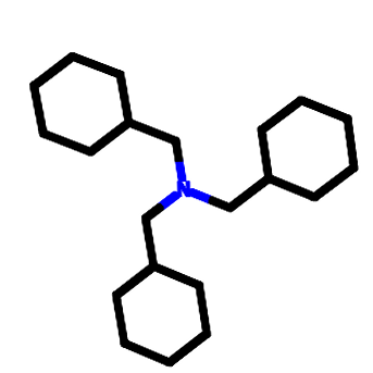 C1CCC(CN(CC2CCCCC2)CC2CCCCC2)CC1